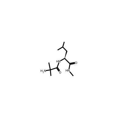 CNC(=O)[C@H](CC(C)C)NC(=O)C(C)(C)N